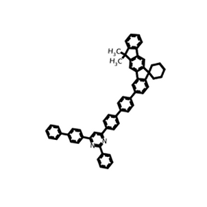 CC1(C)c2ccccc2-c2cc3c(cc21)-c1cc(-c2ccc(-c4ccc(-c5cc(-c6ccc(-c7ccccc7)cc6)nc(-c6ccccc6)n5)cc4)cc2)ccc1C31CCCCC1